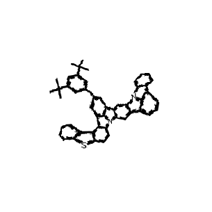 CC(C)(C)c1cc(-c2cc3c4cc5c(cc4n4c6ccc7sc8ccccc8c7c6c(c2)c34)c2cccc3c4ccccc4n5c32)cc(C(C)(C)C)c1